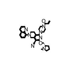 C=CC(=O)N1CCN(c2nc(OC[C@@H]3CCCN3C)c(C#N)c3c2CCN(c2cccc4cccnc24)C3)CC1